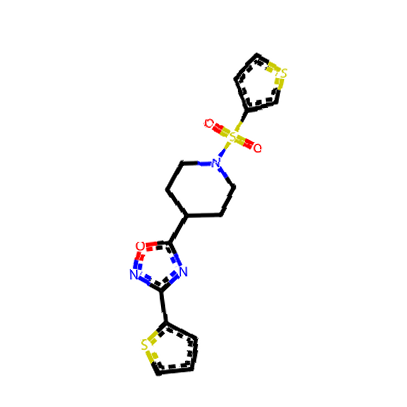 O=S(=O)(c1ccsc1)N1CCC(c2nc(-c3cccs3)no2)CC1